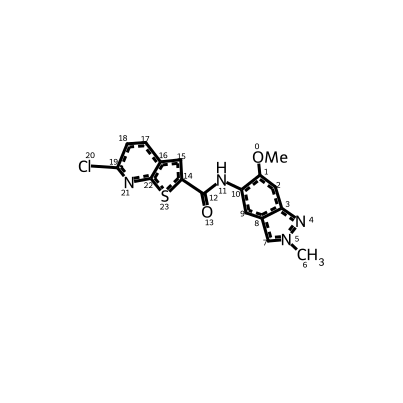 COc1cc2nn(C)cc2cc1NC(=O)c1cc2ccc(Cl)nc2s1